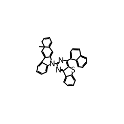 CC12C=c3c(n(-c4nc(-c5cccc6ccccc56)c5sc6ccccc6c5n4)c4ccccc34)=CC1=CC=CC2